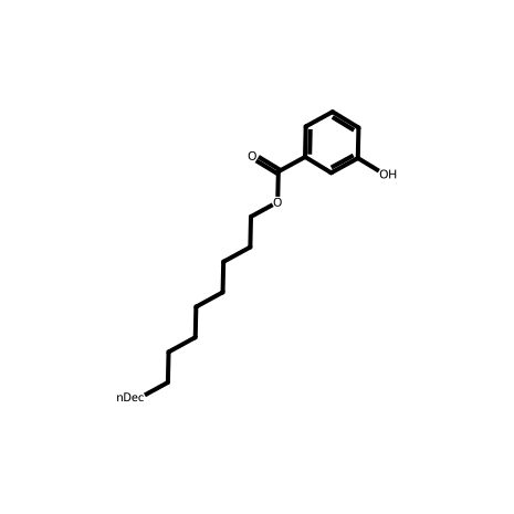 CCCCCCCCCCCCCCCCCCOC(=O)c1cccc(O)c1